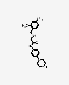 Cc1ccc(CNCC(=O)Nc2ccc(N3CCNCC3)cc2)c(C)c1